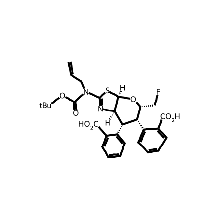 C=CCN(C(=O)OC(C)(C)C)C1=N[C@@H]2[C@@H](c3ccccc3C(=O)O)[C@@H](c3ccccc3C(=O)O)[C@@H](CF)O[C@@H]2S1